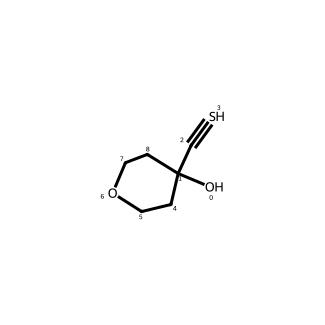 OC1(C#[SH])CCOCC1